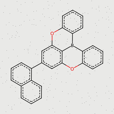 c1ccc2c(c1)Oc1cc(-c3cccc4ccccc34)cc3c1B2c1ccccc1O3